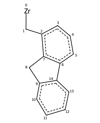 [Zr][CH2]c1cccc2c1Cc1ccccc1-2